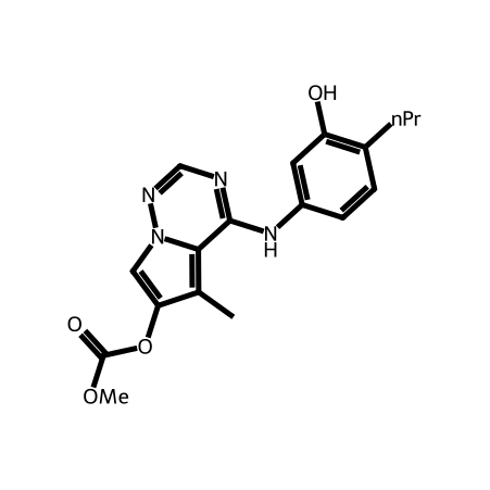 CCCc1ccc(Nc2ncnn3cc(OC(=O)OC)c(C)c23)cc1O